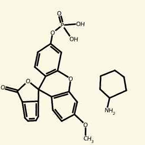 COc1ccc2c(c1)Oc1cc(OP(=O)(O)O)ccc1C21OC(=O)c2ccccc21.NC1CCCCC1